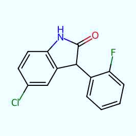 O=C1Nc2ccc(Cl)cc2C1c1ccccc1F